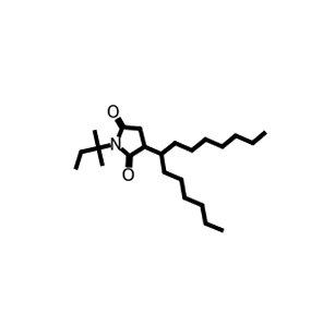 CCCCCCCC(CCCCCC)C1CC(=O)N(C(C)(C)CC)C1=O